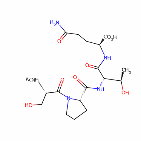 CC(=O)N[C@@H](CO)C(=O)N1CCC[C@H]1C(=O)N[C@H](C(=O)N[C@@H](CCC(N)=O)C(=O)O)[C@@H](C)O